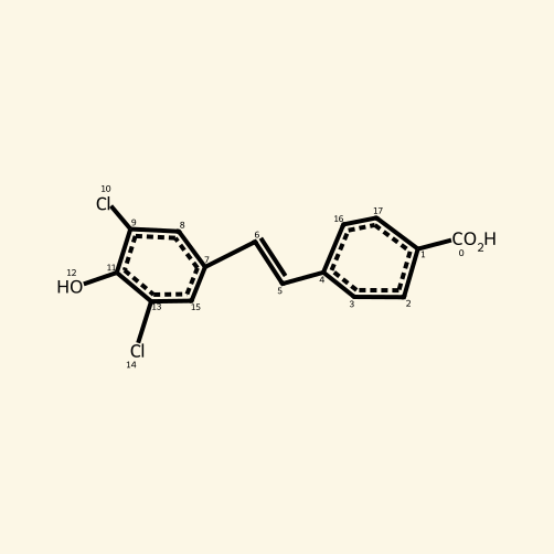 O=C(O)c1ccc(/C=C/c2cc(Cl)c(O)c(Cl)c2)cc1